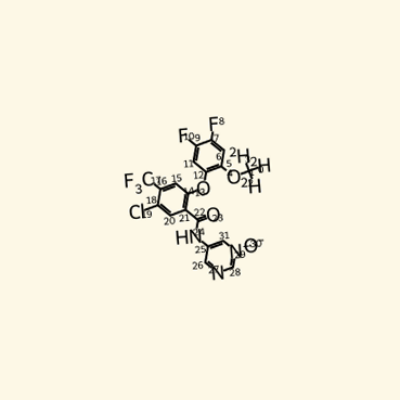 [2H]C([2H])([2H])Oc1cc(F)c(F)cc1Oc1cc(C(F)(F)F)c(Cl)cc1C(=O)Nc1cnc[n+]([O-])c1